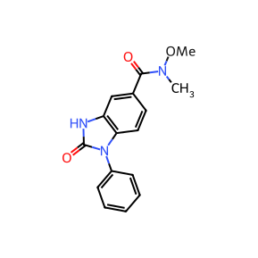 CON(C)C(=O)c1ccc2c(c1)[nH]c(=O)n2-c1ccccc1